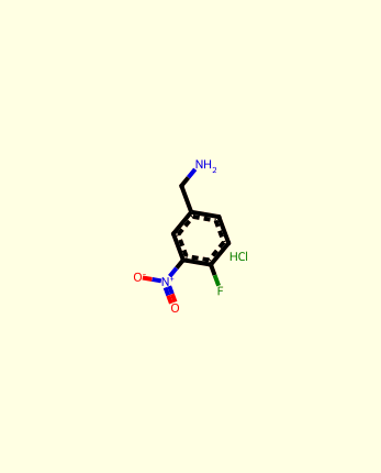 Cl.NCc1ccc(F)c([N+](=O)[O-])c1